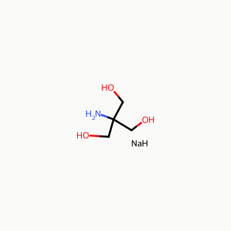 NC(CO)(CO)CO.[NaH]